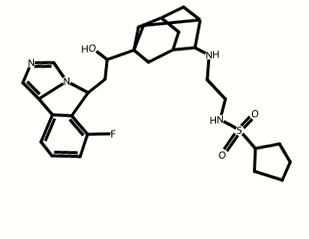 O=S(=O)(NCCNC1C2CC3CC1CC(C(O)CC1c4c(F)cccc4-c4cncn41)(C3)C2)C1CCCC1